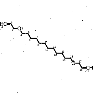 C=CCOCCCCCCCCCCCCOCC=C